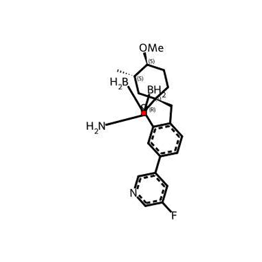 BC1(B)OC(N)=N[C@]12c1cc(-c3cncc(F)c3)ccc1C[C@@]21CC[C@H](OC)[C@@H](C)C1